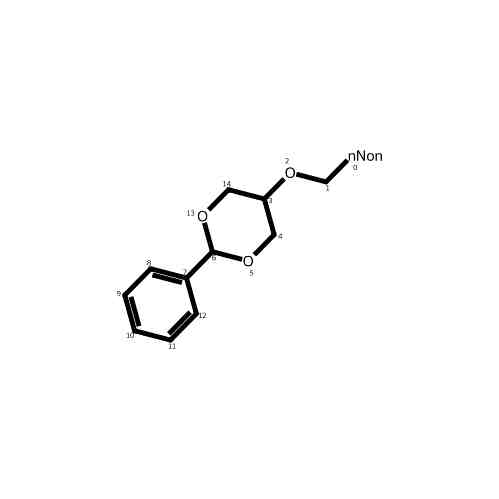 CCCCCCCCCCOC1COC(c2ccccc2)OC1